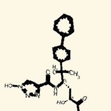 CC(C)(c1ccc(-c2ccccc2)cc1)[C@H](C[C@@H](O)C(=O)O)NC(=O)c1cn(O)nn1